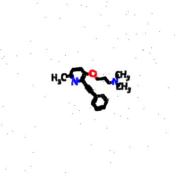 Cc1ccc(OCCCN(C)C)c(C#Cc2ccccc2)n1